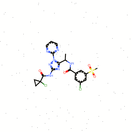 CC(NC(=O)c1cc(Cl)cc(S(C)(=O)=O)c1)c1nc(NC(=O)C2(Cl)CC2)nn1-c1ncccn1